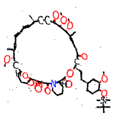 CO[C@H]1C[C@@H]2CC[C@@H](C)[C@@](O)(O2)C(=O)C(=O)N2CCCC[C@H]2C(=O)O[C@H](CC[C@@H]2CCC(O[Si](C)(C)C(C)(C)C)[C@H](OC)C2)CC(=O)C/C=C(\C)[C@@H](OC)[C@@H](OC)C(=O)CC[C@H](C)/C=C/C=C/C=C/1C